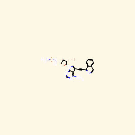 Nc1ncnc2c1c(C#Cc1nccc3ccccc13)cn2[C@@H]1O[C@H](CNS(N)(=O)=O)[C@@H](O)[C@H]1O